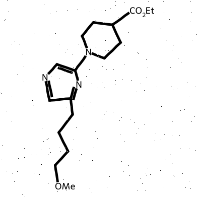 CCOC(=O)C1CCN(c2cncc(CCCCOC)n2)CC1